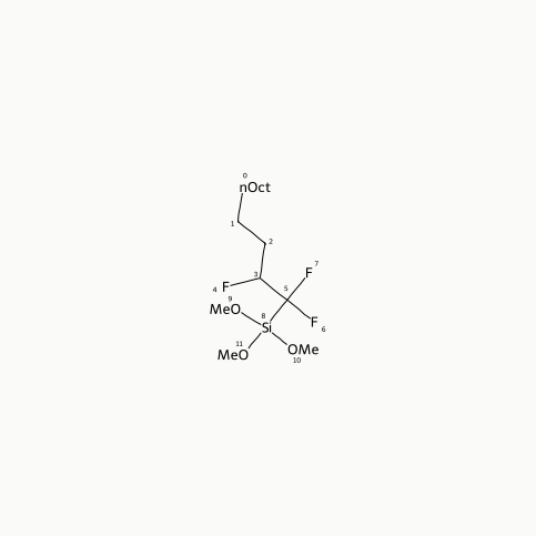 CCCCCCCCCCC(F)C(F)(F)[Si](OC)(OC)OC